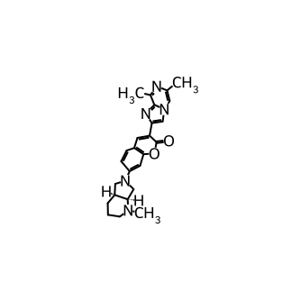 Cc1cn2cc(-c3cc4ccc(N5C[C@@H]6CCCN(C)[C@@H]6C5)cc4oc3=O)nc2c(C)n1